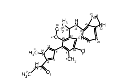 CNC(=O)c1cc(-c2c(C)c(Cl)cc(C(C)Nc3ncnc4[nH]cnc34)c2OC)cn1C